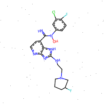 N=C(c1ccnc2nc(NCCN3CCCC(F)C3)[nH]c12)N(O)c1ccc(F)c(Cl)c1